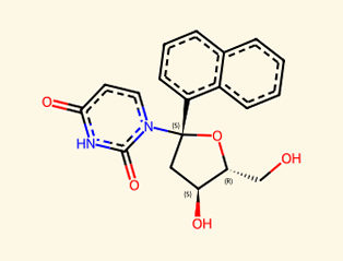 O=c1ccn([C@@]2(c3cccc4ccccc34)C[C@H](O)[C@@H](CO)O2)c(=O)[nH]1